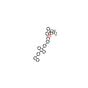 CC1(C)c2ccccc2-c2ccc3c(oc4cc5ccc(-c6ccc(-c7c8ccccc8c(-c8ccc(-c9cccc%10ccccc9%10)cc8)c8ccccc78)cc6)cc5cc43)c21